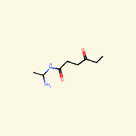 CCC(=O)CCC(=O)NC(C)N